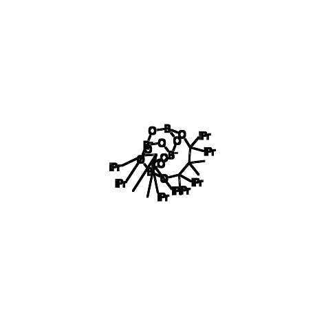 CC(C)C1(C(C)C)OB2O[B-]34OB(O[B-](O2)(O3)OC(C(C)C)(C(C)C)C(C)(C)C(C(C)C)(C(C)C)O4)OC(C(C)C)(C(C)C)C1(C)C